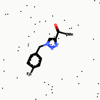 COC(=O)c1cn(Cc2ccc(C(F)(F)F)cc2)nn1